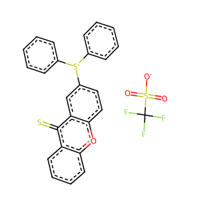 O=S(=O)([O-])C(F)(F)F.S=c1c2ccccc2oc2ccc([S+](c3ccccc3)c3ccccc3)cc12